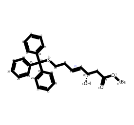 CC(C)(C)OC(=O)C[C@H](O)/C=C/CCSC(c1ccccc1)(c1ccccc1)c1ccccc1